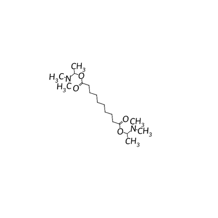 CC(OC(=O)CCCCCCCCC(=O)OC(C)N(C)C)N(C)C